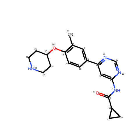 N#Cc1cc(-c2cc(NC(=O)C3CC3)ncn2)ccc1OC1CCNCC1